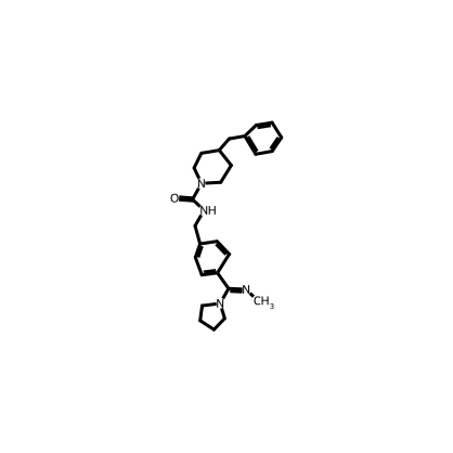 CN=C(c1ccc(CNC(=O)N2CCC(Cc3ccccc3)CC2)cc1)N1CCCC1